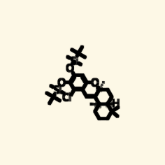 CC1(C)CCC[C@]2(C)C3=Cc4c(cc(O[Si](C)(C)C(C)(C)C)c(O[Si](C)(C)C(C)(C)C)c4Cl)O[C@@]3(C)CC[C@@H]12